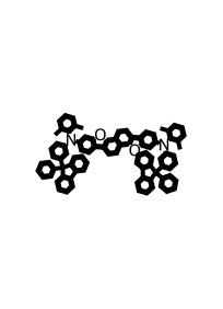 Cc1cccc(C)c1N(c1cccc(C2(c3ccccc3)c3ccccc3-c3ccccc32)c1)c1ccc2c(c1)oc1c2ccc2c1ccc1c3ccc(N(c4cccc(C5(c6ccccc6)c6ccccc6-c6ccccc65)c4)c4c(C)cccc4C)cc3oc12